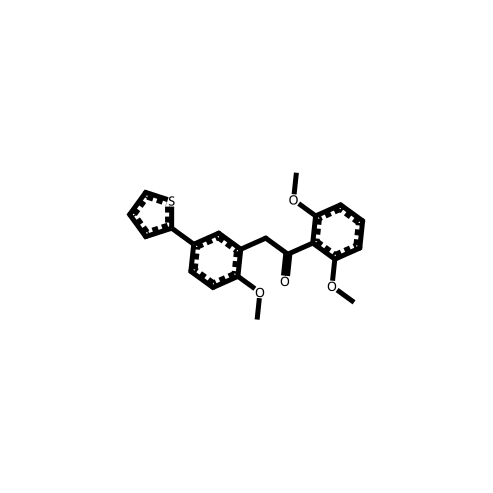 COc1ccc(-c2cccs2)cc1CC(=O)c1c(OC)cccc1OC